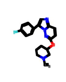 CN1CCCC(Oc2ccc3ncc(-c4ccc(F)cc4)n3n2)C1